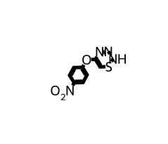 O=[N+]([O-])c1ccc(OC2=CSNN=N2)cc1